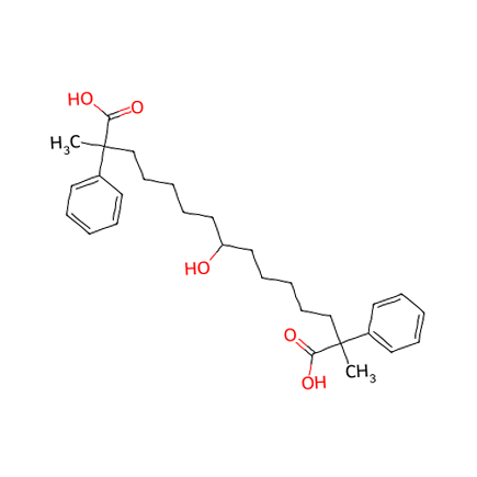 CC(CCCCCC(O)CCCCCC(C)(C(=O)O)c1ccccc1)(C(=O)O)c1ccccc1